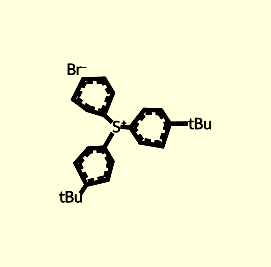 CC(C)(C)c1ccc([S+](c2ccccc2)c2ccc(C(C)(C)C)cc2)cc1.[Br-]